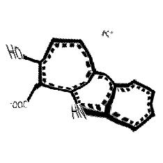 O=C([O-])c1c(O)ccc2c1[nH]c1ccccc12.[K+]